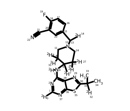 [2H]c1nc(N([2H])C2([2H])C([2H])([2H])CN(C([2H])c3ccc(F)c(C#N)c3)CC2([2H])[2H])c2nc(C([2H])(C)C)sc2n1